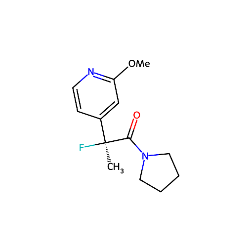 COc1cc([C@](C)(F)C(=O)N2CCCC2)ccn1